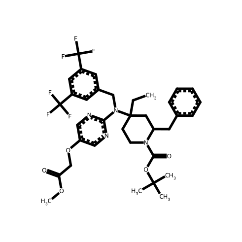 CCC1(N(Cc2cc(C(F)(F)F)cc(C(F)(F)F)c2)c2ncc(OCC(=O)OC)cn2)CCN(C(=O)OC(C)(C)C)C(Cc2ccccc2)C1